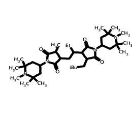 CCC(C)CC1C(=O)N(C2CC(C)(C)N(C)C(C)(C)C2)C(=O)C1C(CC)CC1C(=O)N(C2CC(C)(C)N(C)C(C)(C)C2)C(=O)C1C